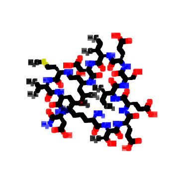 CC[C@H](C)[C@H](NC(=O)[C@H](CCC(=O)O)NC(=O)[C@H](CCC(=O)O)NC(=O)[C@@H](NC(=O)[C@@H](N)CCCCN)[C@@H](C)O)C(=O)N[C@@H](CO)C(=O)N[C@@H](CCC(=O)O)C(=O)N[C@H](C(=O)N[C@@H](CC(=O)O)C(=O)N[C@@H](CC(C)C)[C@@H](O)CN[C@@H](CCSC)C(=O)N[C@H](C(=O)N[C@@H](CC(C)C)C(=O)N[C@@H](CC(=O)O)C(N)=O)C(C)C)[C@@H](C)CC